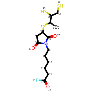 CCC(SC1CC(=O)N(CCCCCC(=O)F)C1=O)C(S)CS